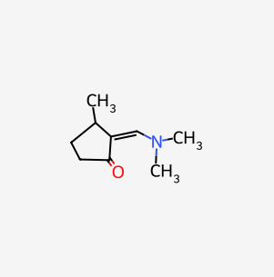 CC1CCC(=O)/C1=C\N(C)C